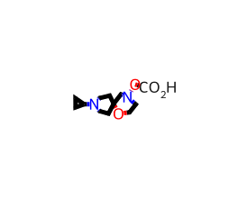 O=C(O)ON1CCOC2(CCN(C3CC3)CC2)C1